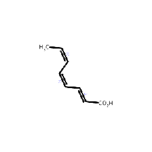 C\C=C/C=C\C=C\C(=O)O